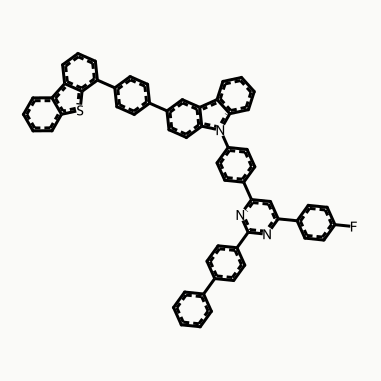 Fc1ccc(-c2cc(-c3ccc(-n4c5ccccc5c5cc(-c6ccc(-c7cccc8c7sc7ccccc78)cc6)ccc54)cc3)nc(-c3ccc(-c4ccccc4)cc3)n2)cc1